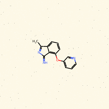 CC1=NC(=N)c2c(Oc3cccnc3)cccc21